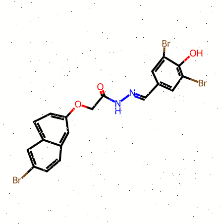 O=C(COc1ccc2cc(Br)ccc2c1)NN=Cc1cc(Br)c(O)c(Br)c1